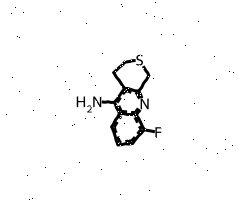 Nc1c2c(nc3c(F)cccc13)CSCC2